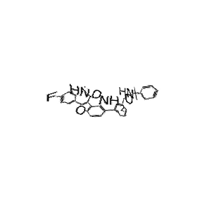 CNC(=O)c1c(-c2ccc(F)cc2)oc2ccc(-c3cccc(CONC(C)(C)c4ccccc4)c3)c(N)c12